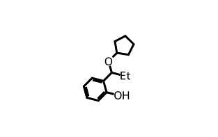 CCC(OC1CCCC1)c1ccccc1O